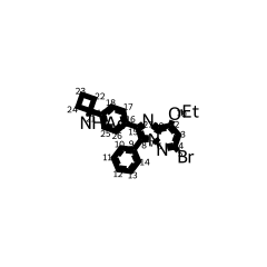 CCOc1cc(Br)nn2c(-c3ccccc3)c(-c3ccc(C4(NC(C)=O)CCC4)cc3)nc12